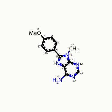 COc1ccc(-c2nc3c(N)ncnc3n2C)cc1